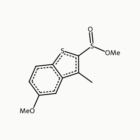 COc1ccc2sc(S(=O)OC)c(C)c2c1